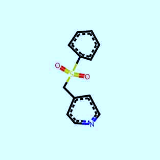 O=S(=O)(Cc1ccncc1)c1ccccc1